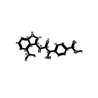 COC(=O)c1ccc(N(S)C(=O)Nc2noc3cccc(N(C)C)c23)cc1